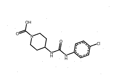 O=C(Nc1ccc(Cl)cc1)NC1CCN(C(=O)O)CC1